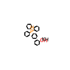 Oc1ccccc1.[KH].c1ccc([PH](c2ccccc2)(c2ccccc2)c2ccccc2)cc1